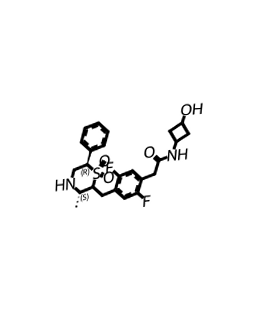 C[C@@H]1NC[C@@H](c2ccccc2)S(=O)(=O)C1Cc1cc(F)c(CC(=O)NC2CC(O)C2)cc1F